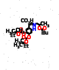 CCC(C)C(=O)OC(C)CN[C@@H](Cc1ccc(OC(=O)OC(C)(C)CC)c(OC(=O)OC(C)(C)CC)c1)C(=O)O